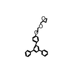 c1ccc(-c2cc(-c3ccccc3)cc(-c3ccc(OCCOCC4CCO4)cc3)c2)cc1